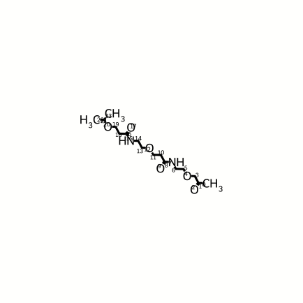 CC(=O)COCCNC(=O)CCOCCNC(=O)CCOC(C)C